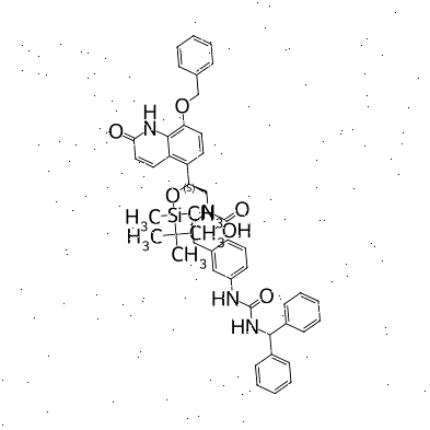 CC(C)(C)[Si](C)(C)O[C@H](CN(CCc1cccc(NC(=O)NC(c2ccccc2)c2ccccc2)c1)C(=O)O)c1ccc(OCc2ccccc2)c2[nH]c(=O)ccc12